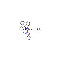 O=C(O)C=Cc1nn(C(c2ccccc2)(c2ccccc2)c2ccccc2)c2ccnc(OC3CCCCC3)c12